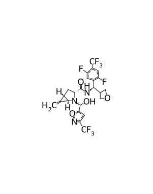 C=C1[C@@H]2[C@H]1C[C@H](C(=O)N[C@@H](c1cc(F)c(C(F)(F)F)cc1F)C1COC1)N2C(O)c1cc(C(F)(F)F)no1